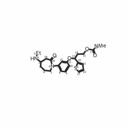 CCNC1CCCN(c2cccc(OC(CCOC(=O)NC)c3cccs3)c2)C(=O)C1